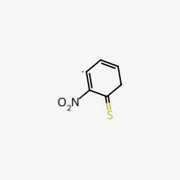 O=[N+]([O-])C1=[C]C=CCC1=S